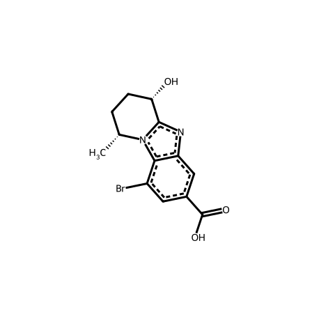 C[C@@H]1CC[C@H](O)c2nc3cc(C(=O)O)cc(Br)c3n21